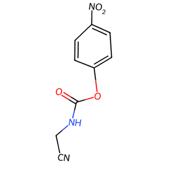 N#CCNC(=O)Oc1ccc([N+](=O)[O-])cc1